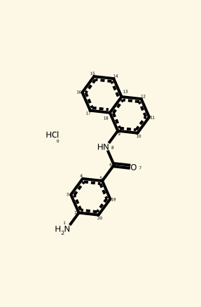 Cl.Nc1ccc(C(=O)Nc2cccc3ccccc23)cc1